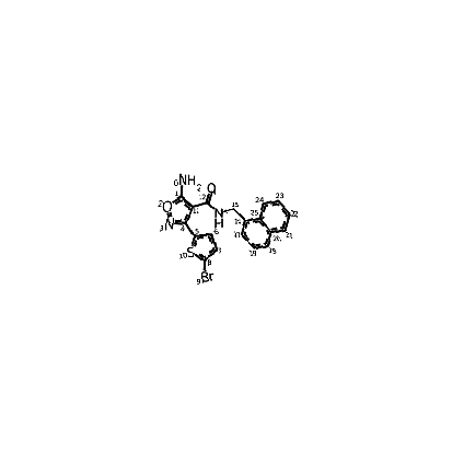 Nc1onc(-c2ccc(Br)s2)c1C(=O)NCc1cccc2ccccc12